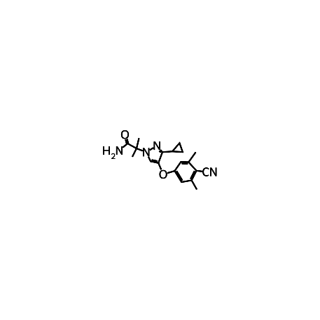 Cc1cc(Oc2cn(C(C)(C)C(N)=O)nc2C2CC2)cc(C)c1C#N